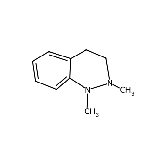 CN1CCc2ccccc2N1C